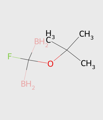 BC(B)(F)OC(C)(C)C